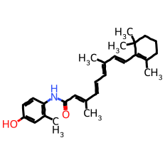 CC(C=CC1=C(C)CCCC1(C)C)=CC=CC(C)=CC(=O)Nc1ccc(O)cc1C